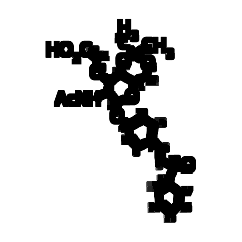 CC(=O)NC1C(Oc2ccc(/C=C/C(=O)c3ccccc3)cc2)OC2COC(C)(C)OC2C1OCC(=O)O